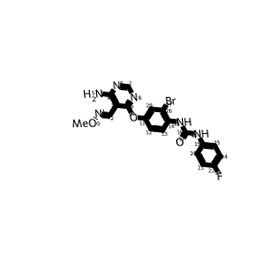 CON=Cc1c(N)ncnc1Oc1ccc(NC(=O)Nc2ccc(F)cc2)c(Br)c1